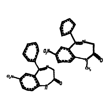 CN1C(=O)CN=C(c2ccccc2)c2cc([N+](=O)[O-])ccc21.O=C1CN=C(c2ccccc2)c2cc([N+](=O)[O-])ccc2N1